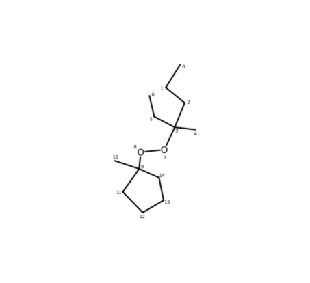 CCCC(C)(CC)OOC1(C)CCCC1